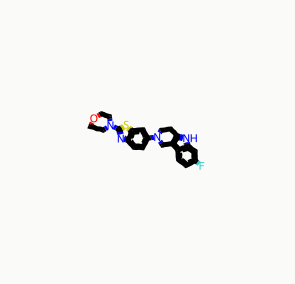 Fc1ccc2c3c([nH]c2c1)CCN(c1ccc2nc(N4CCOCC4)sc2c1)C3